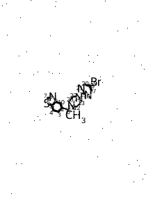 CC(c1ccc2scnc2c1)N1CCN(c2ncc(Br)cn2)CC1